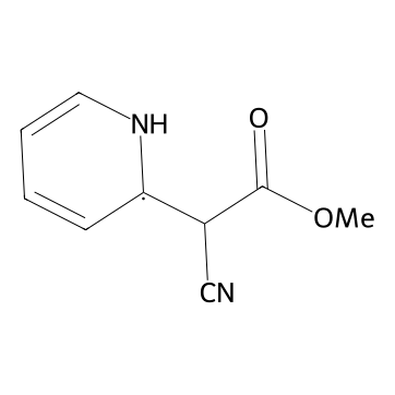 COC(=O)C(C#N)[C]1C=CC=CN1